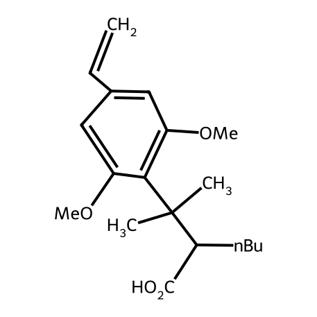 C=Cc1cc(OC)c(C(C)(C)C(CCCC)C(=O)O)c(OC)c1